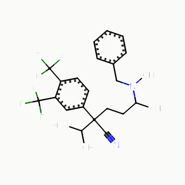 CC(CCC(C#N)(c1ccc(C(F)(F)F)c(C(F)(F)F)c1)C(C)C)N(C)Cc1ccccc1